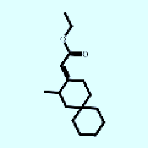 CCOC(=O)C=C1CCC2(CCCCC2)CC1C